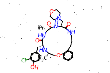 CC(C)[C@H]1NC(=O)[C@@H](Cc2ccc(O)c(Cl)c2)N[C@@H](C)COc2ccccc2CCCNC(=O)[C@H](CN2CCOCC2)NC1=O